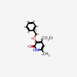 CCOC(=O)c1cc(C)[nH]c(=O)c1OCc1ccccc1